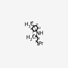 C=C(CCC(C)C)N[C@H]1CC[C@H](C)CC1